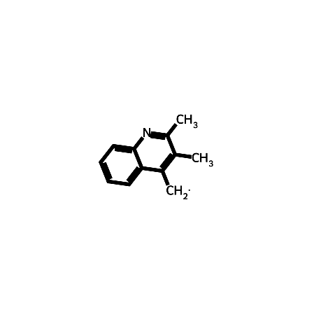 [CH2]c1c(C)c(C)nc2ccccc12